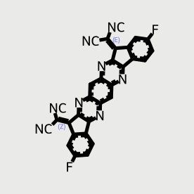 [C-]#[N+]/C(C#N)=C1/c2cc(F)ccc2-c2nc3cc4nc5c(nc4cc3nc21)/C(=C(\C#N)[N+]#[C-])c1cc(F)ccc1-5